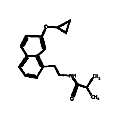 CC(C)C(=O)NCCc1cccc2ccc(OC3CC3)cc12